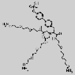 CP(=O)(S)Oc1ccc(-c2ccc(CC(C(=O)NCCOCCOCCON)N(CC(=O)NCCOCCOCCON)CC(=O)NCCOCCOCCON)cc2)cc1